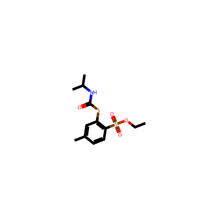 CCOS(=O)(=O)c1ccc(C)cc1SC(=O)NC(C)C